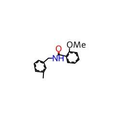 COc1ccccc1C(=O)NCc1cccc(C)c1